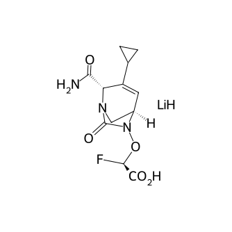 NC(=O)[C@@H]1C(C2CC2)=C[C@@H]2CN1C(=O)N2O[C@H](F)C(=O)O.[LiH]